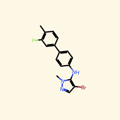 Cc1ccc(-c2ccc(Nc3c(Br)cnn3C)cc2)cc1F